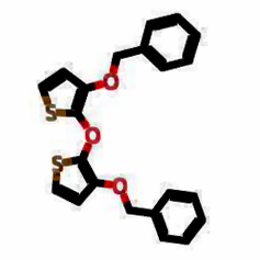 c1ccc(COc2ccsc2Oc2sccc2OCc2ccccc2)cc1